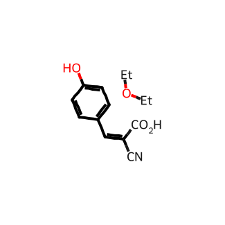 CCOCC.N#C/C(=C/c1ccc(O)cc1)C(=O)O